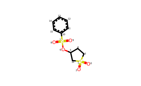 O=S1(=O)CCC(OS(=O)(=O)c2ccccc2)C1